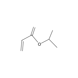 C=CC(=C)OC(C)C